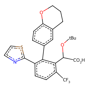 CC(C)(C)OC(C(=O)O)c1c(C(F)(F)F)ccc(-c2nccs2)c1-c1ccc2c(c1)CCCO2